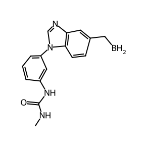 BCc1ccc2c(c1)ncn2-c1cccc(NC(=O)NC)c1